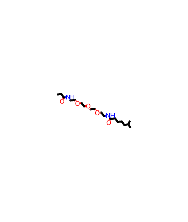 CCC(=O)NCCOCCOCCOCCNC(=O)CCCCC(C)C